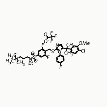 CCN(CCC[N+](C)(C)C)S(=O)(=O)c1cc(F)c(CSc2ncc(C(C)(C)c3ccc(Cl)c(OC)c3)n2-c2ccc(F)cc2)c(F)c1.O=C([O-])C(F)(F)F